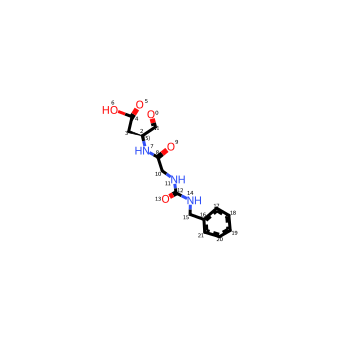 O=[C][C@H](CC(=O)O)NC(=O)CNC(=O)NCc1ccccc1